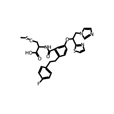 CSCCC(NC(=O)c1cc(OC(Cn2ccnc2)c2nccs2)ccc1CCc1ccc(F)cc1)C(=O)O